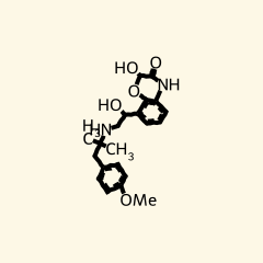 COc1ccc(CC(C)(C)NCC(O)c2cccc3c2OC(O)C(=O)N3)cc1